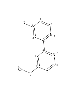 Cc1ccnc(-c2cc(CCl)ccn2)c1